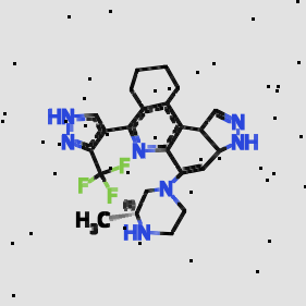 C[C@@H]1CN(C2=CC3NN=CC3c3c2nc(-c2c[nH]nc2C(F)(F)F)c2c3CCCC2)CCN1